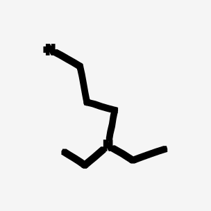 CCN(CC)CCC[N]